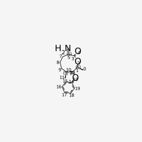 C[C@@H]1OC(=O)[C@@H](N)CCC[C@H](C)[C@H]1Oc1ccccc1